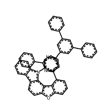 c1ccc(-c2cc(-c3ccccc3)cc(-c3nc(-c4ccccc4)nc(-c4cccc5oc6ccc7c8ccccc8n(-c8ccccc8)c7c6c45)n3)c2)cc1